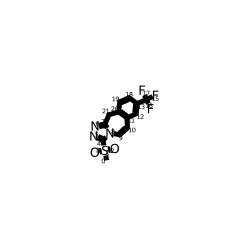 CS(=O)(=O)c1nnc2n1C=Cc1cc(C(F)(F)F)ccc1C2